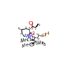 C=CC(=O)C1CCCCNC1=O.CO[Si](CCCS)(OC)OC